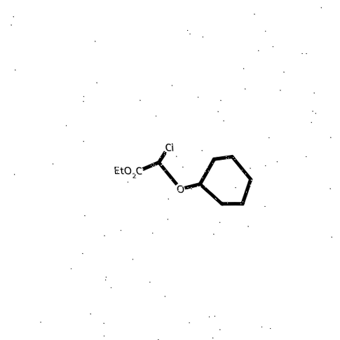 CCOC(=O)C(Cl)OC1CCCCC1